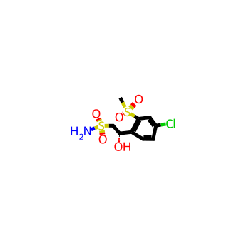 CS(=O)(=O)c1cc(Cl)ccc1[C@H](O)CS(N)(=O)=O